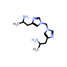 CC(N)Cc1cn(Cn2cnc(CC(C)N)c2)cn1